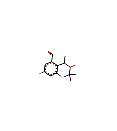 CC1c2c(C=O)cc(F)cc2NC(C)(C)C1O